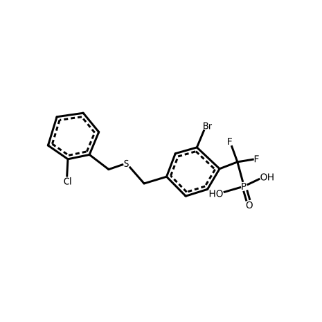 O=P(O)(O)C(F)(F)c1ccc(CSCc2ccccc2Cl)cc1Br